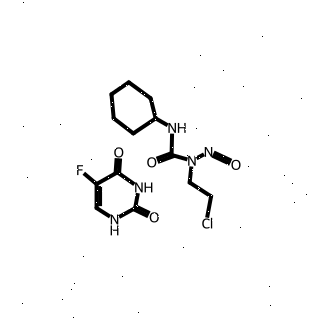 O=NN(CCCl)C(=O)NC1CCCCC1.O=c1[nH]cc(F)c(=O)[nH]1